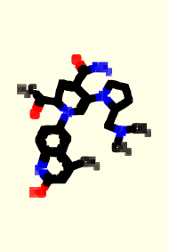 CC(=O)C1C=C(C(N)=O)C(N2CCCC2CN(C)C)=CN1c1ccc2nc(O)cc(C)c2c1